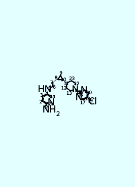 Nc1ccc(NCC[C@@H]2C[C@@H]2C2CCN(c3ncc(Cl)cn3)CC2)cn1